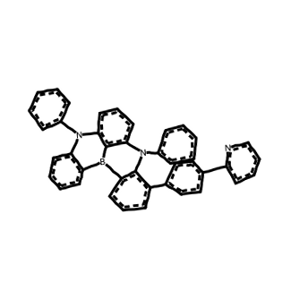 c1ccc(N2c3ccccc3B3c4cccc(-c5ccc(-c6ccccn6)cc5)c4N(c4ccccc4)c4cccc2c43)cc1